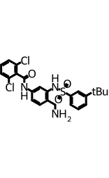 CC(C)(C)c1cccc(S(=O)(=O)Nc2cc(NC(=O)c3c(Cl)cccc3Cl)ccc2CN)c1